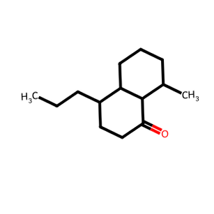 CCCC1CCC(=O)C2C(C)CCCC12